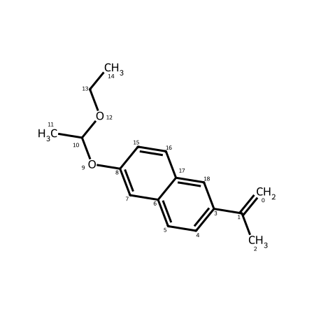 C=C(C)c1ccc2cc(OC(C)OCC)ccc2c1